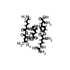 CC(C)C[C@H](N)C(=O)OC(=O)[C@@H](N)CCCCN.N=C(N)NCCC[C@H](N)C(=O)Oc1ccc(C[C@H](N)C(=O)O)cc1.N[C@@H](Cc1c[nH]cn1)C(=O)O